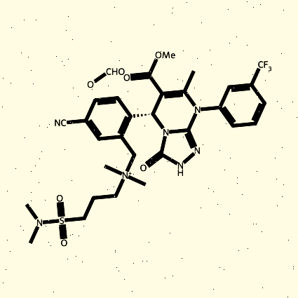 COC(=O)C1=C(C)N(c2cccc(C(F)(F)F)c2)c2n[nH]c(=O)n2[C@@H]1c1ccc(C#N)cc1C[N+](C)(C)CCCS(=O)(=O)N(C)C.O=C[O-]